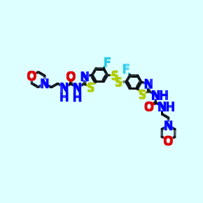 O=C(NCCN1CCOCC1)Nc1nc2cc(F)c(SSc3cc4sc(NC(=O)NCCN5CCOCC5)nc4cc3F)cc2s1